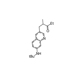 CCC(=O)C(C)Cc1cnc2cc(NC(C)(C)C)ccc2c1